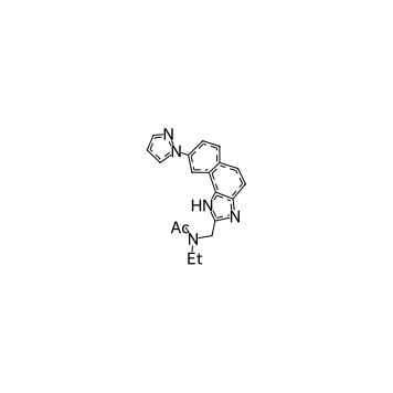 CCN(Cc1nc2ccc3ccc(-n4cccn4)cc3c2[nH]1)C(C)=O